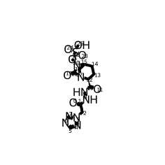 O=C(Cn1ncnn1)NNC(=O)[C@@H]1CCC2CN1C(=O)N2OS(=O)(=O)O